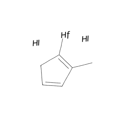 CC1=[C]([Hf])CC=C1.I.I